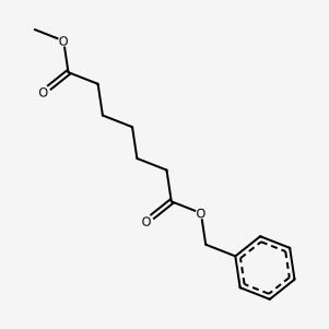 COC(=O)CCCCCC(=O)OCc1ccccc1